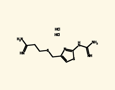 Cl.Cl.N=C(N)CCSCc1csc(NC(=N)N)n1